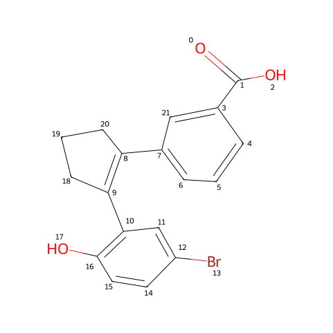 O=C(O)c1cccc(C2=C(c3cc(Br)ccc3O)CCC2)c1